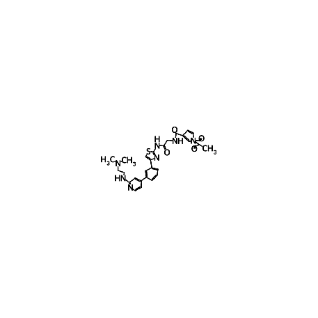 CN(C)CCNc1cc(-c2cccc(-c3csc(NC(=O)CNC(=O)c4ccn(S(C)(=O)=O)c4)n3)c2)ccn1